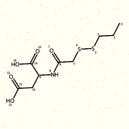 CCCSSCC(=O)NC(CC(=O)O)C(=O)O